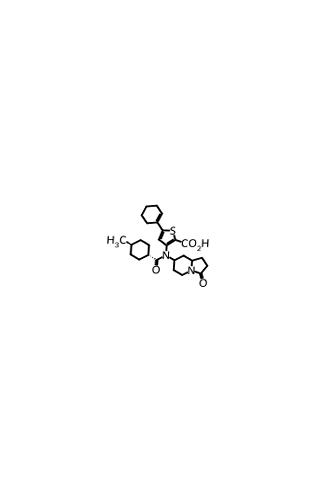 C[C@H]1CC[C@H](C(=O)N(c2cc(C3=CCCCC3)sc2C(=O)O)C2CCN3C(=O)CCC3C2)CC1